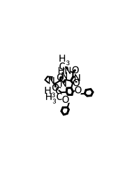 CCNC(=O)c1noc(-c2cc(C(C)C)c(OCc3ccccc3)cc2OCc2ccccc2)c1-c1noc(C(=O)N2CCCC2)n1